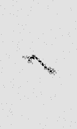 CCOC(OCC)c1cn(CCOCCOCCOCCNC(=O)OC(C)(C)C)nn1